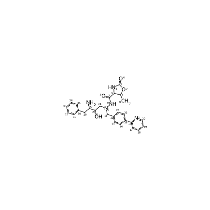 CC1OC(=O)NC1C(=O)NN(Cc1ccc(-c2ccccn2)cc1)CC(O)C(N)Cc1ccccc1